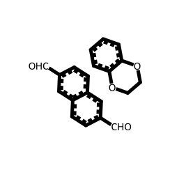 O=Cc1ccc2cc(C=O)ccc2c1.c1ccc2c(c1)OCCO2